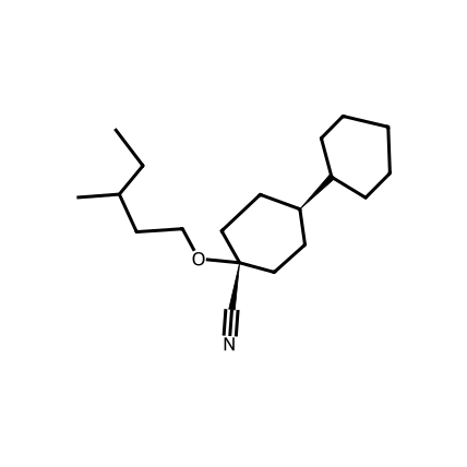 CCC(C)CCO[C@]1(C#N)CC[C@@H](C2CCCCC2)CC1